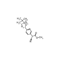 COC(=O)C(C#N)c1ccc(CO[Si](C)(C)C(C)(C)C)nc1